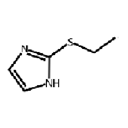 [CH2]CSc1ncc[nH]1